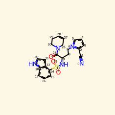 N#Cc1cccn1CCC(NS(=O)(=O)c1cccc2[nH]ccc12)C(=O)N1CC=CCC1